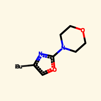 CCC(C)c1coc(N2CCOCC2)n1